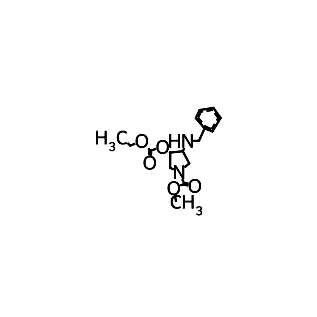 CCOC(=O)OC1CN(C(=O)OC)CC1NCc1ccccc1